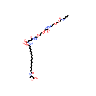 CCCCCNC(=O)COCCOCCNC(=O)COCCOCCNC(=O)CCC(NC(=O)CCCCCCCCCCCCCCCCC(=O)NC(C)CC(=O)O)C(=O)O